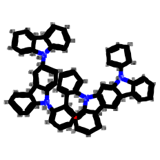 c1ccc(-n2c3ccccc3c3cc4c5ccccc5n(-c5ccccc5-c5ccccc5-n5c6ccccc6c6cc(-n7c8ccccc8c8ccccc87)ccc65)c4cc32)cc1